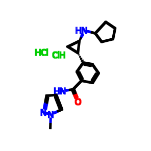 Cl.Cl.Cn1cc(NC(=O)c2cccc([C@@H]3C[C@H]3NC3CCCC3)c2)cn1